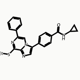 CCSc1nc(-c2ccccc2)cn2c(-c3ccc(C(=O)NC4CC4)cc3)cnc12